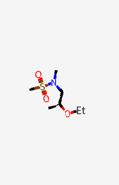 CCO[C@@H](C)CN(C)S(C)(=O)=O